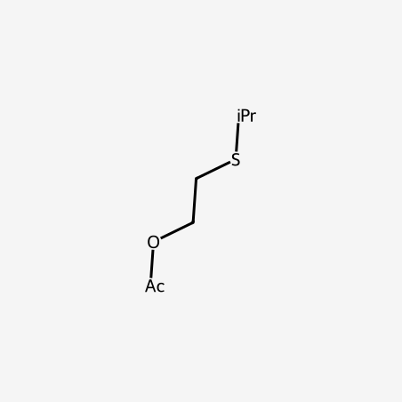 CC(=O)OCCSC(C)C